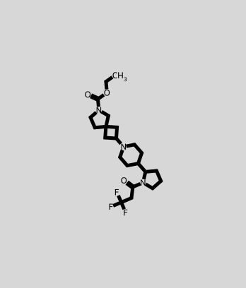 CCOC(=O)N1CCC2(CC(N3CCC(C4CCCN4C(=O)CC(F)(F)F)CC3)C2)C1